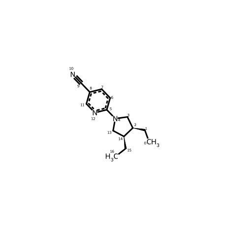 CC[C@@H]1CN(c2ccc(C#N)cn2)C[C@@H]1CC